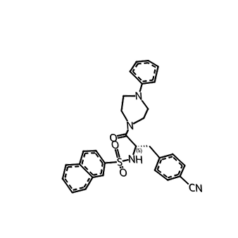 N#Cc1ccc(C[C@H](NS(=O)(=O)c2ccc3ccccc3c2)C(=O)N2CCN(c3ccccc3)CC2)cc1